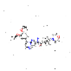 COc1ccc(-c2ccnc3cc(NC(=O)C45CCC(N6CCOCC6)(CC4)CC5)nn23)cc1OC